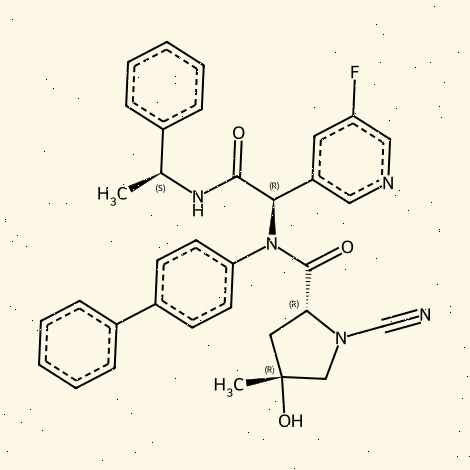 C[C@H](NC(=O)[C@@H](c1cncc(F)c1)N(C(=O)[C@H]1C[C@@](C)(O)CN1C#N)c1ccc(-c2ccccc2)cc1)c1ccccc1